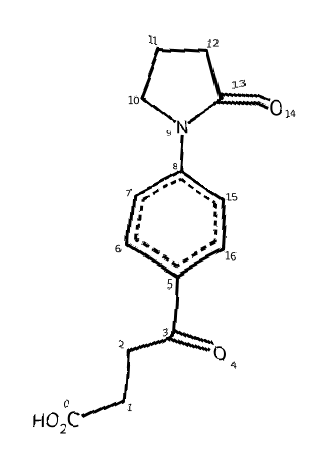 O=C(O)CCC(=O)c1ccc(N2CCCC2=O)cc1